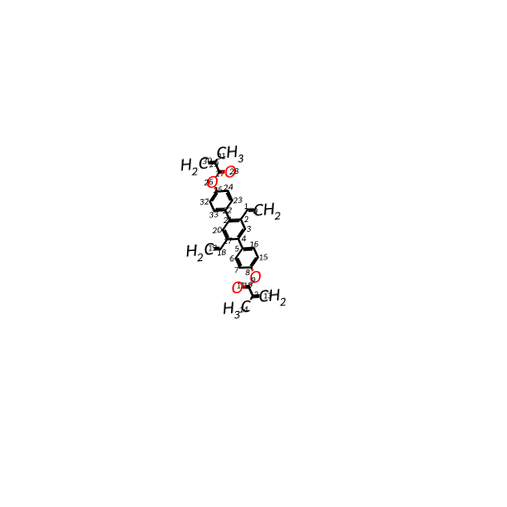 C=Cc1cc(-c2ccc(OC(=O)C(=C)C)cc2)c(C=C)cc1-c1ccc(OC(=O)C(=C)C)cc1